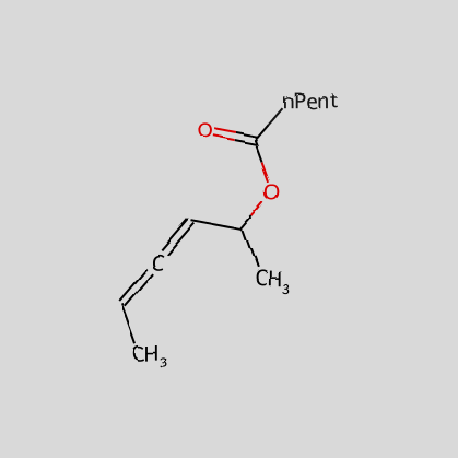 CC=C=CC(C)OC(=O)CCCCC